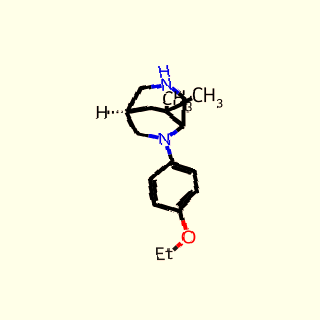 CCOc1ccc(N2C[C@H]3CNCC2C(C)(C)C3)cc1